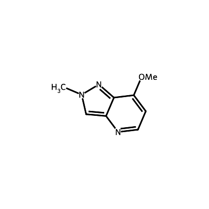 COc1ccnc2cn(C)nc12